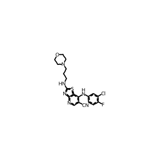 N#Cc1cnc2nc(NCCCN3CCOCC3)sc2c1Nc1ccc(F)c(Cl)c1